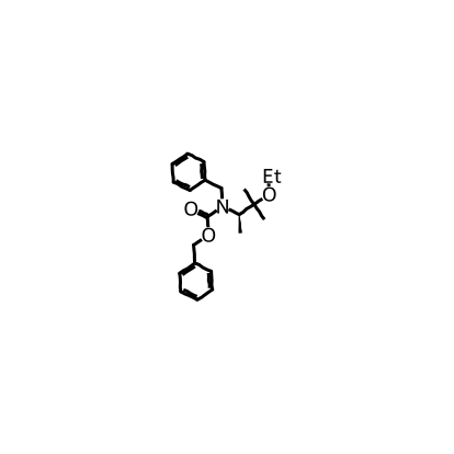 CCOC(C)(C)[C@@H](C)N(Cc1ccccc1)C(=O)OCc1ccccc1